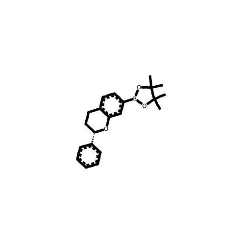 CC1(C)OB(c2ccc3c(c2)O[C@H](c2ccccc2)CC3)OC1(C)C